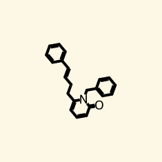 O=c1cccc(CCC=Cc2ccccc2)n1Cc1ccccc1